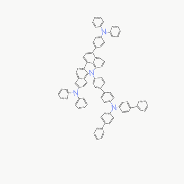 c1ccc(-c2ccc(N(c3ccc(-c4ccccc4)cc3)c3ccc(-c4ccc(N5c6c(ccc7cc(N(c8ccccc8)c8ccccc8)ccc67)-c6ccc(-c7ccc(N(c8ccccc8)c8ccccc8)cc7)c7cccc5c67)cc4)cc3)cc2)cc1